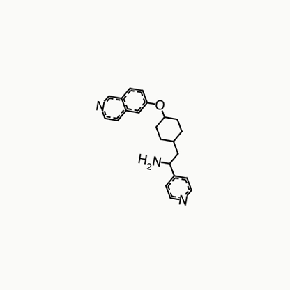 NC(CC1CCC(Oc2ccc3cnccc3c2)CC1)c1ccncc1